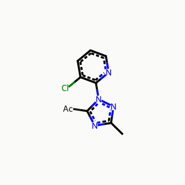 CC(=O)c1nc(C)nn1-c1ncccc1Cl